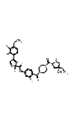 CC[C@@]1(O)CN[C@H](C(=O)N2CCN(C(=O)c3ccc(NC(=O)C4(Cl)N=CC(c5ccc(OC)c(F)c5F)=N4)cc3Cl)CC2)C1